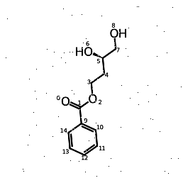 O=C(OCC[C@@H](O)CO)c1ccccc1